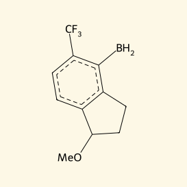 Bc1c(C(F)(F)F)ccc2c1CCC2OC